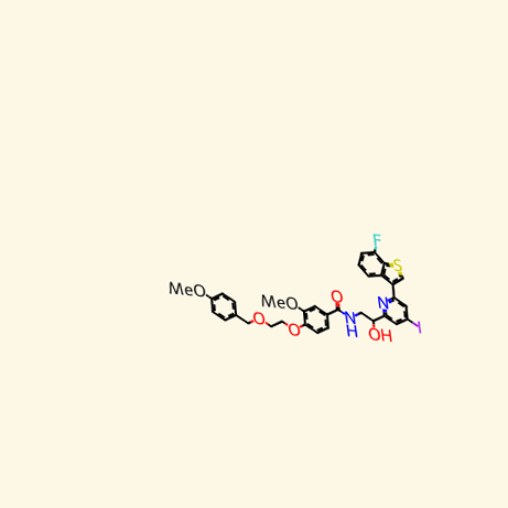 COc1ccc(COCCOc2ccc(C(=O)NCC(O)c3cc(I)cc(-c4csc5c(F)cccc45)n3)cc2OC)cc1